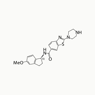 COc1ccc2c(c1)CC[C@@H]2NC(=O)c1ccc2nc(N3CCNCC3)sc2c1